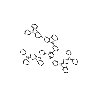 c1ccc(N(c2ccccc2)c2ccc3c(c2)c2ccccc2n3-c2cccc(-c3cc(-c4cccc(-n5c6ccccc6c6cc(-c7ccc8c(c7)c7ccccc7n8-c7ccccc7)ccc65)c4)nc(-c4cccc(-n5c6ccccc6c6cc(N(c7ccccc7)c7ccccc7)ccc65)c4)n3)c2)cc1